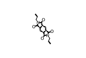 C=CCn1c(=O)c2cc3c(=O)n(CC=C)c(=O)c3cc2c1=O